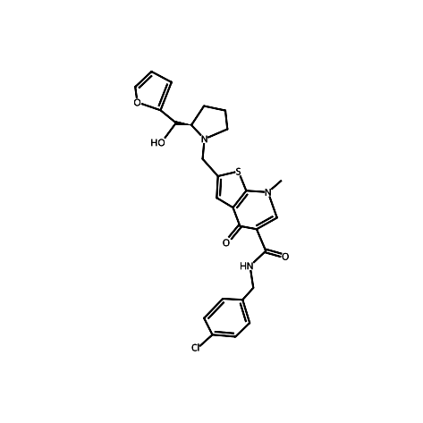 Cn1cc(C(=O)NCc2ccc(Cl)cc2)c(=O)c2cc(CN3CCC[C@@H]3C(O)c3ccco3)sc21